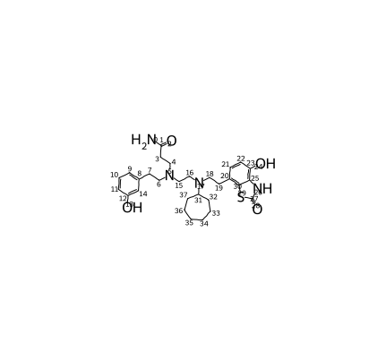 NC(=O)CCN(CCc1cccc(O)c1)CCN(CCc1ccc(O)c2[nH]c(=O)sc12)C1CCCCCC1